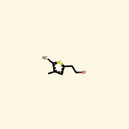 Cc1cc(CCBr)sc1C#N